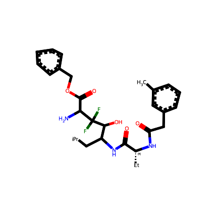 CC[C@@H](NC(=O)Cc1cccc(C)c1)C(=O)NC(CC(C)C)C(O)C(F)(F)C(N)C(=O)OCc1ccccc1